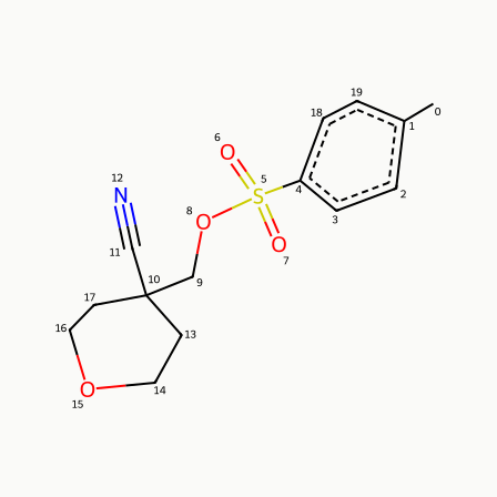 Cc1ccc(S(=O)(=O)OCC2(C#N)CCOCC2)cc1